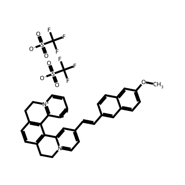 COc1ccc2cc(/C=C/c3cc[n+]4c(c3)-c3c(ccc5c3-c3c6ccccc6cc[n+]3CC5)CC4)ccc2c1.O=S(=O)([O-])C(F)(F)F.O=S(=O)([O-])C(F)(F)F